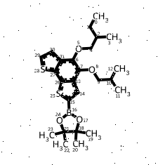 CCC(C)COc1c(OCC(C)C)c2cc(B3OC(C)(C)C(C)(C)O3)sc2c2sccc12